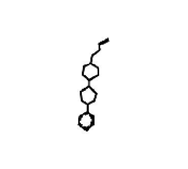 C=CCCC1CCC(C2CCC(c3ccccc3)CC2)CC1